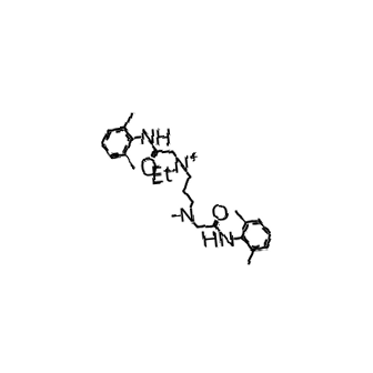 CC[N+](C)(CCCN(C)CC(=O)Nc1c(C)cccc1C)CC(=O)Nc1c(C)cccc1C